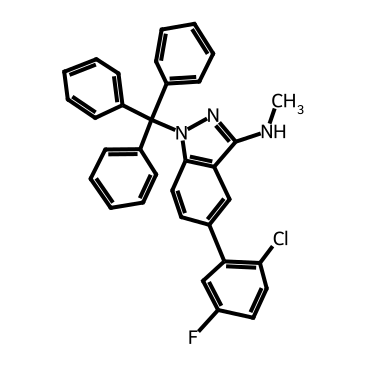 CNc1nn(C(c2ccccc2)(c2ccccc2)c2ccccc2)c2ccc(-c3cc(F)ccc3Cl)cc12